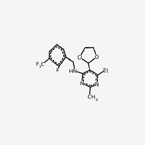 CCc1nc(C)nc(NCc2cccc(C(F)(F)F)c2F)c1C1OCCO1